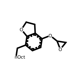 CCCCCCCCCc1ccc(OC2CO2)c2c1OCC2